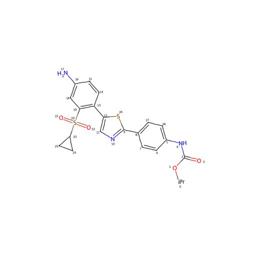 CC(C)OC(=O)Nc1ccc(-c2ncc(-c3ccc(N)cc3S(=O)(=O)C3CC3)s2)cc1